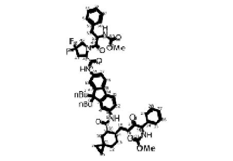 CCCCC1(CCCC)c2cc(NC(=O)[C@@H]3CC4(CCC3CCC(=O)[C@H](NC(=O)OC)c3ccccc3)CC4)ccc2-c2ccc(NC(=O)[C@@H]3CC(F)(F)CN3C(=O)C(Cc3ccccc3)NC(=O)OC)cc21